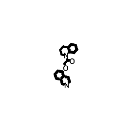 O=C(COc1cccc2cnccc12)N1CCCc2ccccc21